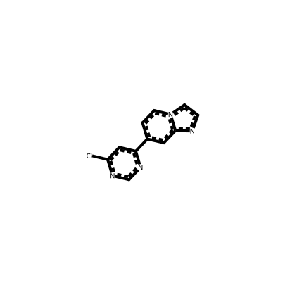 Clc1cc(-c2ccn3ccnc3c2)ncn1